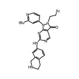 CC(=O)CCn1c(=O)c2cnc(Nc3ccc4c(c3)CNCC4)nc2n1-c1ccnc(C(C)(C)C)c1